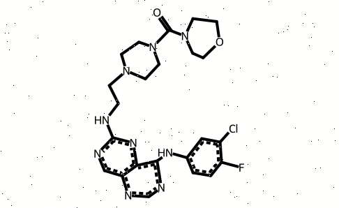 O=C(N1CCOCC1)N1CCN(CCNc2ncc3ncnc(Nc4ccc(F)c(Cl)c4)c3n2)CC1